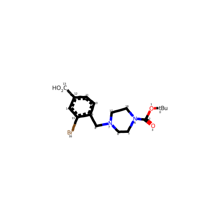 CC(C)(C)OC(=O)N1CCN(Cc2ccc(C(=O)O)cc2Br)CC1